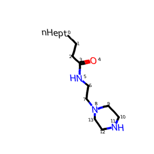 CCCCCCCCCC(=O)NCCN1CCNCC1